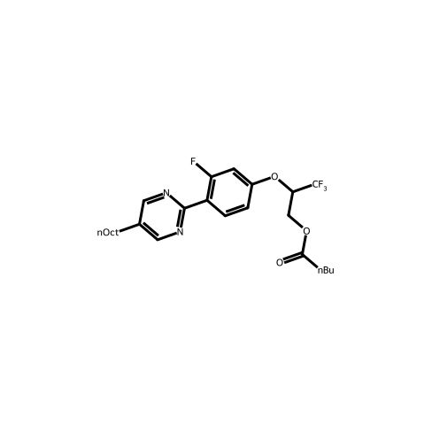 CCCCCCCCc1cnc(-c2ccc(OC(COC(=O)CCCC)C(F)(F)F)cc2F)nc1